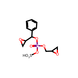 O=P(OCC1CO1)(OC(c1ccccc1)C1CO1)OS(=O)(=O)O